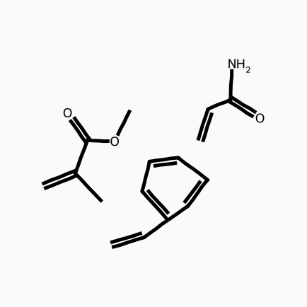 C=C(C)C(=O)OC.C=CC(N)=O.C=Cc1ccccc1